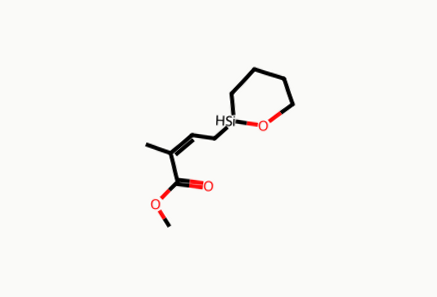 COC(=O)C(C)=CC[SiH]1CCCCO1